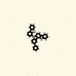 c1ccc(-c2ccc3c(c2)c2c4sc5ccccc5c4ccc2n3-c2cccc3c2oc2ccccc23)cc1